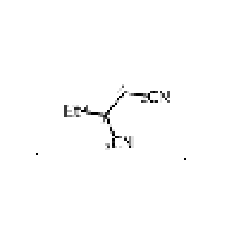 CCC(C#N)[CH]C#N